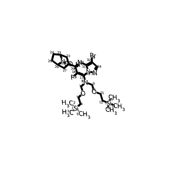 C[Si](C)(C)CCOCN(COCC[Si](C)(C)C)c1c(F)c(C2CC3CCC(C2)N3C(=O)O)nc2c(Br)cnn12